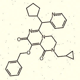 O=C1c2c(OCc3ccccc3)c(=O)nc(C(c3ccccn3)C3CCCC3)n2CCN1CC1CC1